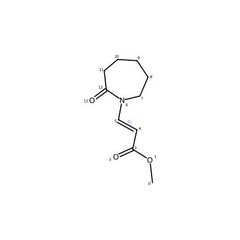 COC(=O)/C=C/N1CCCCCC1=O